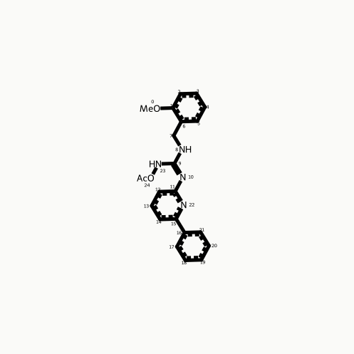 COc1ccccc1CNC(=Nc1cccc(-c2ccccc2)n1)NOC(C)=O